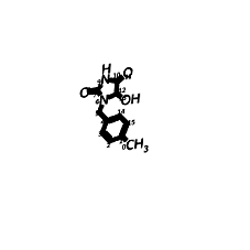 Cc1ccc(CN2C(=O)NC(=O)C2O)cc1